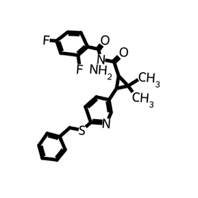 CC1(C)C(C(=O)N(N)C(=O)c2ccc(F)cc2F)C1c1ccc(SCc2ccccc2)nc1